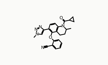 CC1CCc2c(ccc(-c3cn(C)nn3)c2Oc2ccccc2C#N)N1C(=O)C1CC1